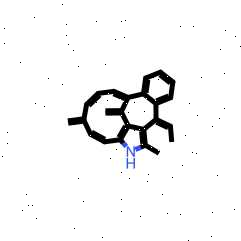 C=c1cccc2c(=C)c3c(c(C)[nH]c3cc1)/C(=C\C)c1ccccc1-2